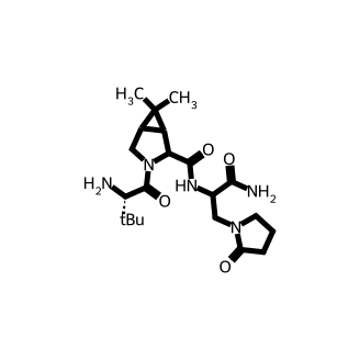 CC1(C)C2CN(C(=O)[C@@H](N)C(C)(C)C)C(C(=O)NC(CN3CCCC3=O)C(N)=O)C21